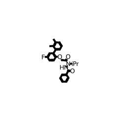 Cc1cccc(-c2cc(F)ccc2OCC(=O)N(NC(=O)c2ccccc2)C(C)C)c1C